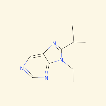 CCn1c(C(C)C)nc2cncnc21